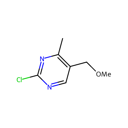 COCc1cnc(Cl)nc1C